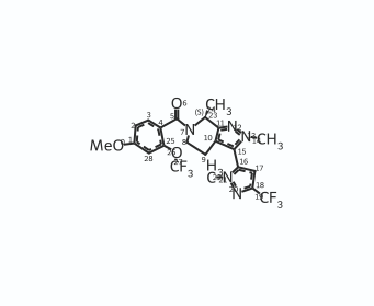 COc1ccc(C(=O)N2CCc3c(nn(C)c3-c3cc(C(F)(F)F)nn3C)[C@@H]2C)c(OC(F)(F)F)c1